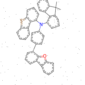 CC1(C)c2ccccc2-c2c(N(c3ccc(-c4cccc5c4oc4ccccc45)cc3)c3cccc4sc5ccccc5c34)cccc21